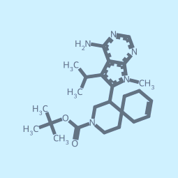 CC(C)c1c(C2CN(C(=O)OC(C)(C)C)CCC23CC=CCC3)n(C)c2ncnc(N)c12